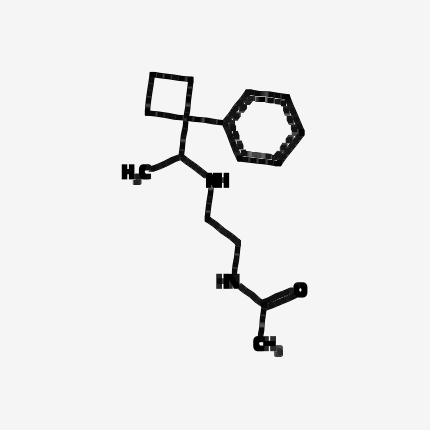 CC(=O)NCCNC(C)C1(c2ccccc2)CCC1